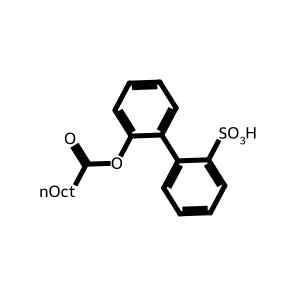 CCCCCCCCC(=O)Oc1ccccc1-c1ccccc1S(=O)(=O)O